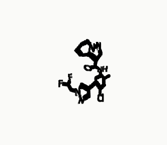 Cc1cc(Cl)c(-c2cnn(CC(F)F)c2)cc1NC(=O)c1cnn2ccccc12